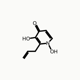 C=CCc1c(O)c(=O)ccn1O